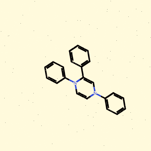 C1=CN(c2ccccc2)C(c2ccccc2)=CN1c1ccccc1